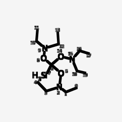 CCN(CC)OC([SiH3])(ON(CC)CC)ON(CC)CC